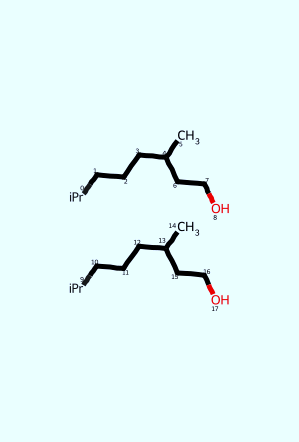 CC(C)CCCC(C)CCO.CC(C)CCCC(C)CCO